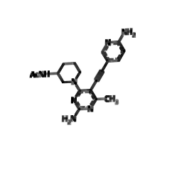 CC(=O)NC1CCCN(c2nc(N)nc(C)c2C#Cc2ccc(N)nc2)C1